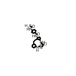 CC(=O)Nc1ccc(C(=O)Nc2ccc3cc2CCc2cccc(c2)Nc2ncc(Cl)c(n2)N3)cc1